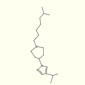 CC(C)CCCCCN1CCC(n2cc(C(C)C)cn2)CC1